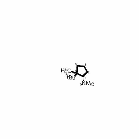 CN[C@H]1CCCC1(C)C(C)(C)C